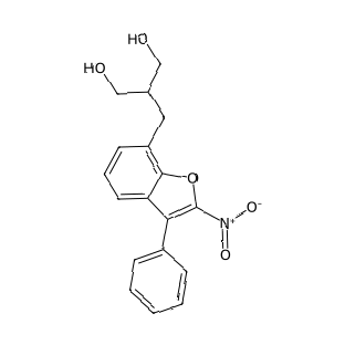 O=[N+]([O-])c1oc2c(CC(CO)CO)cccc2c1-c1ccccc1